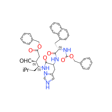 CC(C)C[C@H](NC(=O)C(Cc1c[nH]cn1)NC(=O)[C@H](Cc1cccc2ccccc12)NC(=O)OCc1ccccc1)[C@@H](C=O)CC(=O)OCc1ccccc1